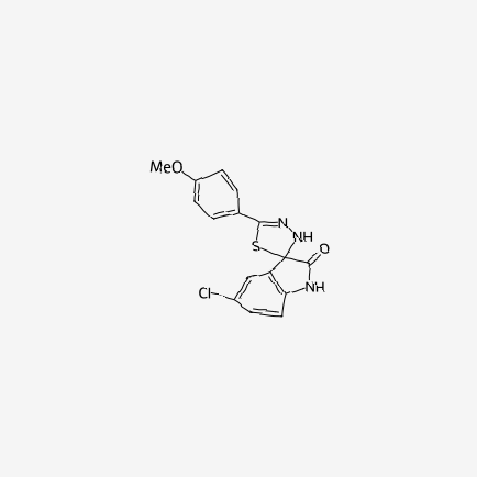 COc1ccc(C2=NNC3(S2)C(=O)Nc2ccc(Cl)cc23)cc1